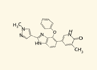 Cc1cc(-c2ccc3[nH]c(-c4cnn(C)c4)nc3c2Oc2ccccc2)c[nH]c1=O